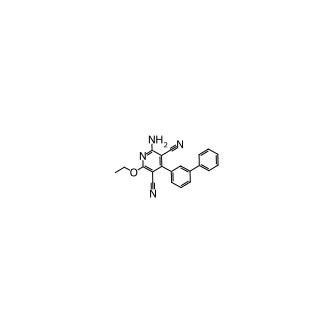 CCOc1nc(N)c(C#N)c(-c2cccc(-c3ccccc3)c2)c1C#N